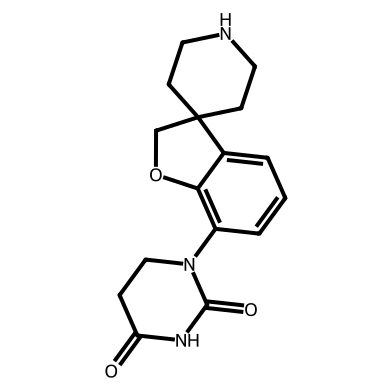 O=C1CCN(c2cccc3c2OCC32CCNCC2)C(=O)N1